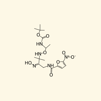 CC(NC(=O)OC(C)(C)C)ONC(C)(C)/C(CNC(=O)c1ccc([N+](=O)[O-])o1)=N\O